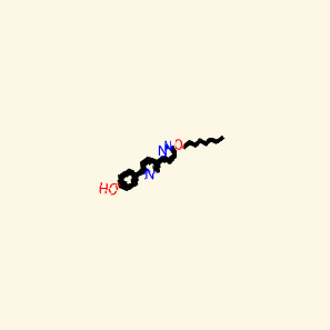 CCCCCCCCOc1ccc(-c2ccc(-c3ccc(O)cc3)nc2)nn1